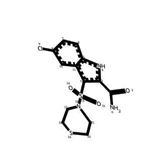 NC(=O)c1[nH]c2ccc(Cl)cc2c1S(=O)(=O)N1CCSCC1